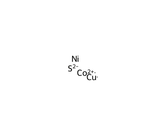 [Co+2].[Cu].[Ni].[S-2]